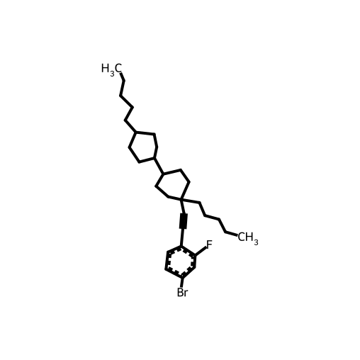 CCCCCC1CCC(C2CCC(C#Cc3ccc(Br)cc3F)(CCCCC)CC2)CC1